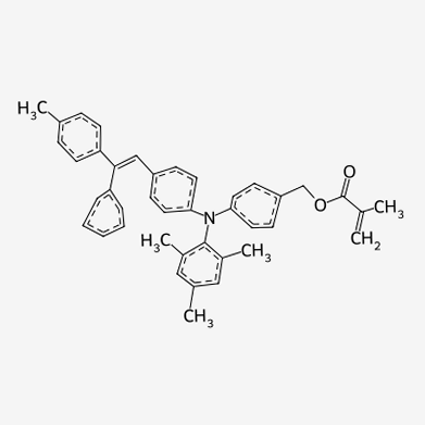 C=C(C)C(=O)OCc1ccc(N(c2ccc(/C=C(\c3ccccc3)c3ccc(C)cc3)cc2)c2c(C)cc(C)cc2C)cc1